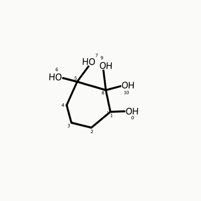 O[C]1CCCC(O)(O)C1(O)O